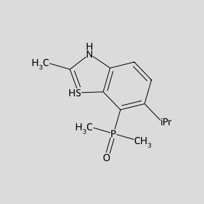 CC1=[SH]c2c(ccc(C(C)C)c2P(C)(C)=O)N1